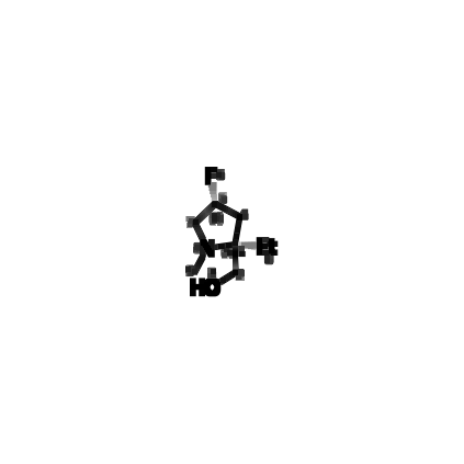 CC[C@@]1(CO)C[C@@H](F)CN1C